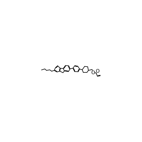 C=CC(=O)OCC1CCC(c2ccc(-c3ccc4c(c3)Cc3cc(CCCCC)ccc3-4)cc2)CC1